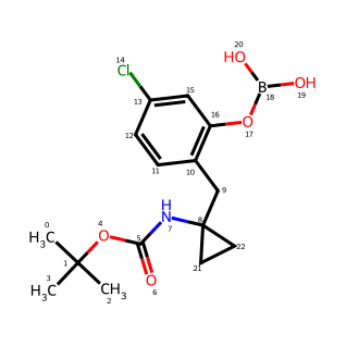 CC(C)(C)OC(=O)NC1(Cc2ccc(Cl)cc2OB(O)O)CC1